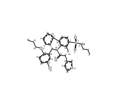 CCCNS(=O)(=O)c1ccc(-c2ccccc2)c(N(Cc2cc(Cl)ccc2OCCC)C(=O)Cc2ccsc2)c1F